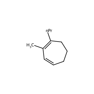 CCCC1=C(C)C=CCCC1